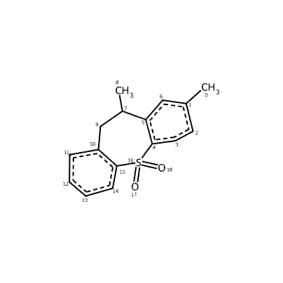 Cc1ccc2c(c1)C(C)Cc1ccccc1S2(=O)=O